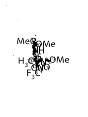 COCCn1c(=O)n(CC(F)(F)F)c(=O)c2c(C)c(CNCC(OC)OC)sc21